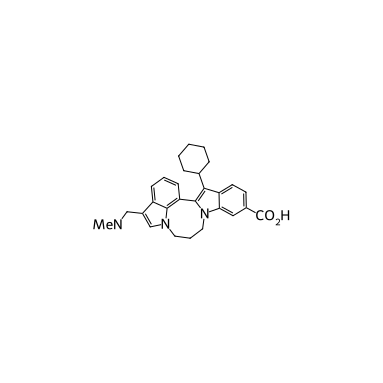 CNCc1cn2c3c(cccc13)-c1c(C3CCCCC3)c3ccc(C(=O)O)cc3n1CCC2